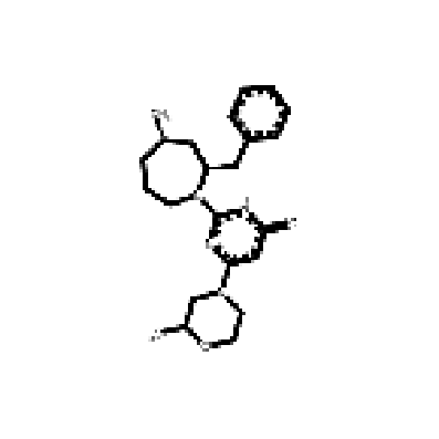 CC1CN(c2cc(=O)[nH]c(N3CCC[C@@H](C)C[C@H]3Cc3ccccc3)n2)CCO1